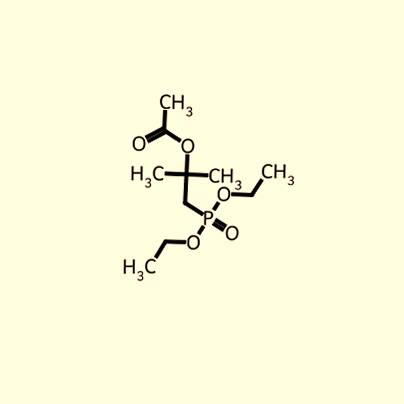 CCOP(=O)(CC(C)(C)OC(C)=O)OCC